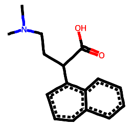 CN(C)CCC(C(=O)O)c1cccc2ccccc12